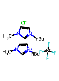 CCCC[n+]1ccn(C)c1.CCCC[n+]1ccn(C)c1.F[B-](F)(F)F.[Cl-]